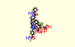 CNC(=O)c1ccc(-n2cc(CN(CC3CCN(C(=O)Nc4ccccc4)CC3)c3cccc(-c4sc(C(=O)O)c(OCC(=O)O)c4Br)c3)nn2)cc1